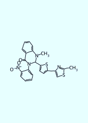 Cc1nc(-c2ccc(C3N(C)c4ccccc4C(=O)N3c3ccccc3[N+](=O)[O-])s2)cs1